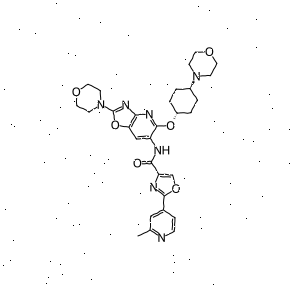 Cc1cc(-c2nc(C(=O)Nc3cc4oc(N5CCOCC5)nc4nc3O[C@H]3CC[C@H](N4CCOCC4)CC3)co2)ccn1